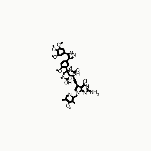 COc1ccc(-c2cnoc2-c2cc(OC)c(OC)c(OC)c2)cc1C(CCC#Cc1cn(Cc2ncc(C)c(OC)c2C)c2nc(N)nc(Cl)c12)(CN(C)C(=O)O)N(C)C(=O)O